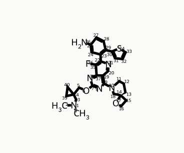 CN(C)CC1(COc2nc(N3CCC[C@]4(CCO4)C3)c3cnc(-c4cc(N)ccc4-c4cccs4)c(F)c3n2)CC1